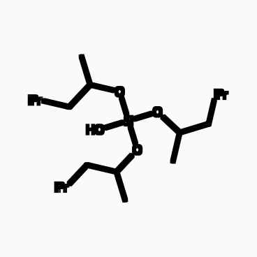 CC(C)CC(C)O[Si](O)(OC(C)CC(C)C)OC(C)CC(C)C